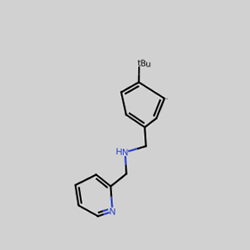 CC(C)(C)c1[c]cc(CNCc2ccccn2)cc1